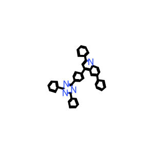 c1ccc(-c2ccc3nc(-c4ccccc4)cc(-c4ccc(-c5nc(-c6ccccc6)nc(-c6ccccc6)n5)cc4)c3c2)cc1